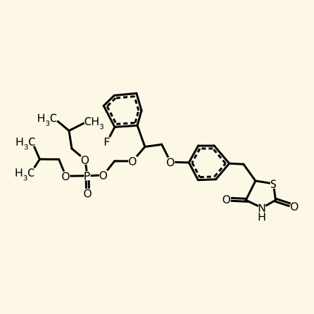 CC(C)COP(=O)(OCOC(COc1ccc(CC2SC(=O)NC2=O)cc1)c1ccccc1F)OCC(C)C